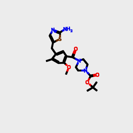 COc1cc(C)c(Cc2cnc(N)s2)cc1C(=O)N1CCN(C(=O)OC(C)(C)C)CC1